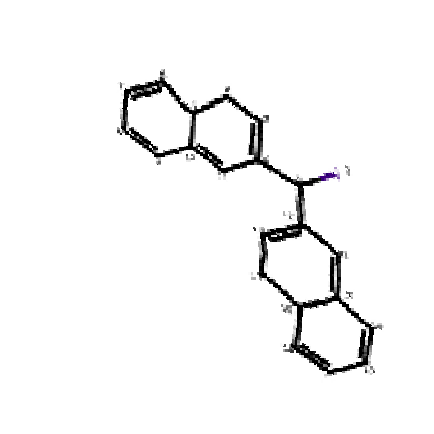 IC(C1=CCC2C=CC=CC2=C1)C1=CCC2C=CC=CC2=C1